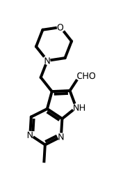 Cc1ncc2c(CN3CCOCC3)c(C=O)[nH]c2n1